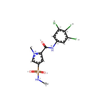 CCC(C)NS(=O)(=O)c1cc(C(=O)Nc2cc(F)c(F)c(Br)c2)n(C)c1